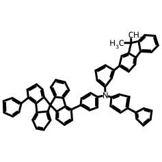 CC1(C)c2ccccc2-c2ccc(-c3cccc(N(c4ccc(-c5ccccc5)cc4)c4ccc(-c5cccc6c5-c5ccccc5C65c6ccccc6-c6c(-c7ccccc7)cccc65)cc4)c3)cc21